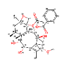 CO[C@H]1C[C@@]2(O)[C@@H](OC(=O)c3ccccc3)[C@@H]3[C@]4(OC(C)=O)CO[C@@H]4C[C@H](C)[C@@]3(C)[C@@H](O)[C@@H](O)C(=C1C)C2(C)C